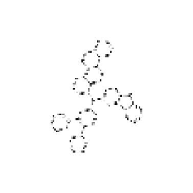 c1ccc(-c2ccc(N(c3ccc4oc5ccccc5c4c3)c3cccc4c3ccc3c5ccccc5ccc43)cc2-c2ccccc2)cc1